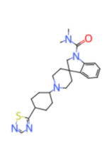 CN(C)C(=O)N1CC2(CCN(C3CCC(c4ncns4)CC3)CC2)c2ccccc21